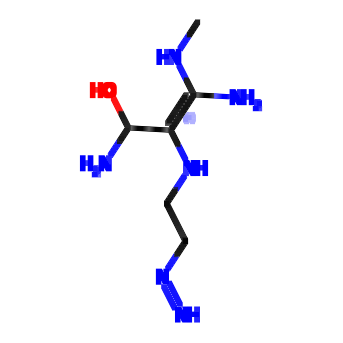 CN/C(N)=C(/NCCN=N)C(N)O